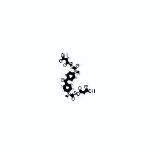 CN(C(=O)SOC(=O)CC(=O)O)c1ccc(C(=O)c2ccc(N(C)C(=O)SOC(=O)CC(=O)O)cc2)cc1